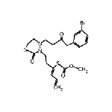 C=C/C=C(/CCN1C(=O)SCCN1CCC(=O)Cc1cccc(Br)c1)SC(=O)OC